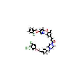 Cc1cc(C=CC(=O)N2CCN(Cc3ccc(CCOc4ccc(F)cc4)cc3)CC2)ccc1Oc1ccc(OCc2ccccc2Cl)cn1.Cl